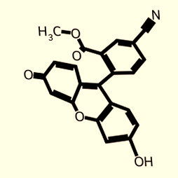 COC(=O)c1cc(C#N)ccc1-c1c2ccc(=O)cc-2oc2cc(O)ccc12